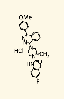 COc1ccc(-c2nnc(N3CCN(C(=O)Nc4ccc(F)cc4F)[C@@H](C)C3)c3ccccc23)cc1.Cl